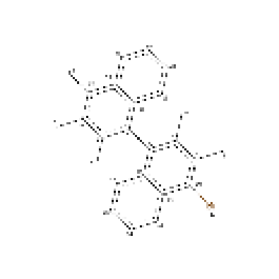 Cc1c(C)c(-c2c(C)c(C)c(Br)c3ccccc23)c2ccccc2c1C